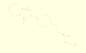 O=C(O)NCCC1CCN(c2nc3ccccc3[nH]2)CC1